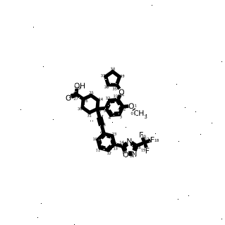 COc1ccc(C2(C#Cc3cccc(-c4nc(C(F)(F)F)no4)c3)CCC(C(=O)O)CC2)cc1OC1CCCC1